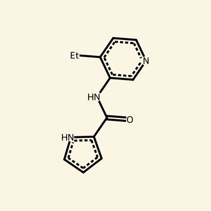 CCc1ccncc1NC(=O)c1ccc[nH]1